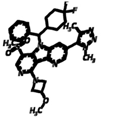 COC1CN(c2ncc(S(C)(=O)=O)c3c2c2ncc(-c4c(C)nnn4C)cc2n3C(c2ccccc2)C2CCC(F)(F)CC2)C1